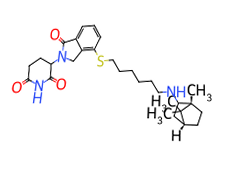 CC1(C)[C@@H]2CC[C@@]1(C)C(NCCCCCCSc1cccc3c1CN(C1CCC(=O)NC1=O)C3=O)C2